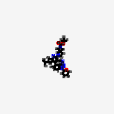 Cc1ccc2c(cnn2C2CCCCO2)c1-c1c(C#N)c(N2CCC3(CN(C(=O)OC(C)(C)C)C3)C2)nc2c1CC(C(C)C)C2